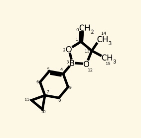 C=C1OB(C2=CCC3(CC2)CC3)OC1(C)C